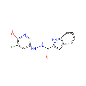 COc1ncc(NNC(=O)c2cc3ccccc3[nH]2)cc1F